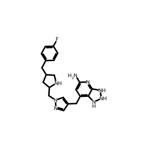 Nc1cc(Cc2cnn(CC3CC(Cc4ccc(F)cc4)CN3)c2)c2c(n1)NNN2